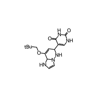 CC(C)(C)COC1=CC(c2c[nH]c(=O)[nH]c2=O)NN2C=CNC12